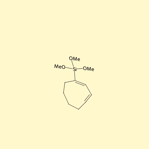 CO[Si](OC)(OC)/C1=C/C=C\CCCC1